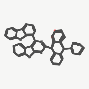 c1ccc(C23c4ccccc4C(c4nc(-c5cccc6c5oc5ccccc56)c5c(n4)oc4ccccc45)(c4ccccc42)c2ccccc23)cc1